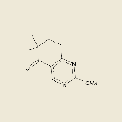 COc1ncc2c(n1)CCC(C)(C)C2=O